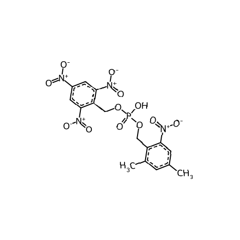 Cc1cc(C)c(COP(=O)(O)OCc2c([N+](=O)[O-])cc([N+](=O)[O-])cc2[N+](=O)[O-])c([N+](=O)[O-])c1